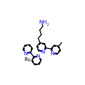 Cc1ccnc(-c2cc(CCCCN)ccn2)c1.[Ru].c1ccc(-c2ccccn2)nc1